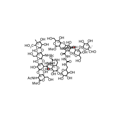 CO[C@@H]1OC(CO)[C@@H](O)[C@H](OC2OC(C(=O)NNC(=O)NCC3O[C@H](O[C@H]4OC(CNC(=O)NNC(=O)C5O[C@@H](O[C@@H]6C(NC(C)=O)[C@H](OC)OC(CO)[C@H]6O)C(O)[C@@H](O)[C@@H]5O[C@@H]5OC(CO)[C@@H](O)[C@H](O[C@@H]6OC(C(=O)O)[C@@H](C)[C@H](O)C6O)C5NC(C)=O)[C@@H](O)[C@H](O)C4O)C(O)[C@@H](O)[C@@H]3O)[C@@H](O[C@@H]3OC(CO)[C@@H](O)[C@H](O[C@@H]4OC(C=O)[C@@H](C)[C@H](O)C4O)C3NC(C)=O)[C@H](O)[C@@H]2O)C1NC(C)=O